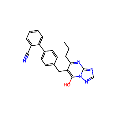 CCCc1nc2ncnn2c(O)c1Cc1ccc(-c2ccccc2C#N)cc1